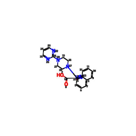 O=C(O)C1=C2C=CC=C3C=CC=CC32NN=C1N1CCN(c2ncccn2)CC1